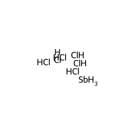 Cl.Cl.Cl.Cl.Cl.Cl.[SbH3]